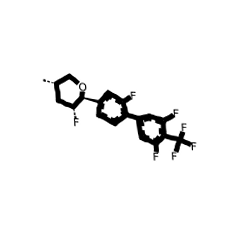 C[C@@H]1CO[C@@H](c2ccc(-c3cc(F)c(C(F)(F)F)c(F)c3)c(F)c2)[C@H](F)C1